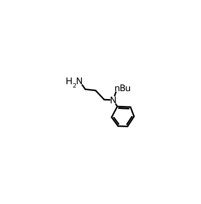 CCCCN(CCCN)c1ccccc1